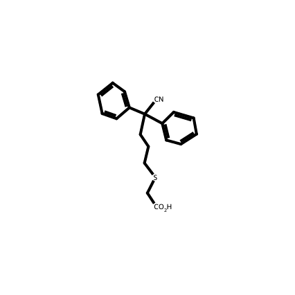 N#CC(CCCSCC(=O)O)(c1ccccc1)c1ccccc1